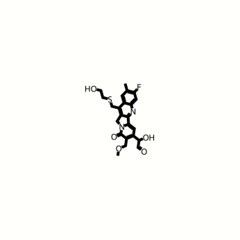 COCc1c(C(O)C=O)cc2n(c1=O)Cc1c-2nc2cc(F)c(C)cc2c1CSCCO